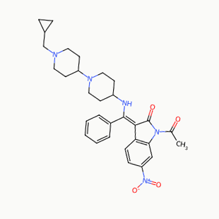 CC(=O)N1C(=O)/C(=C(\NC2CCN(C3CCN(CC4CC4)CC3)CC2)c2ccccc2)c2ccc([N+](=O)[O-])cc21